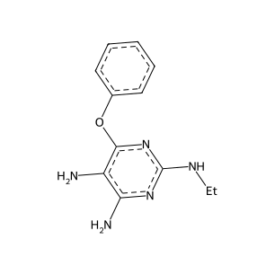 CCNc1nc(N)c(N)c(Oc2ccccc2)n1